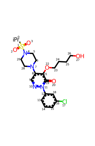 CC(C)S(=O)(=O)N1CCN(c2cnn(-c3cccc(Cl)c3)c(=O)c2OCCCCO)CC1